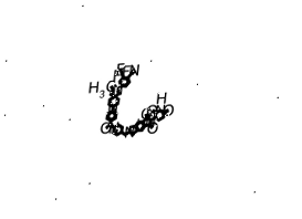 CC1CC2(CCN(c3ccc(C(=O)N4CCC(CN5Cc6cc7c(cc6C5)C(=O)N(C5CCC(=O)NC5=O)C7=O)CC4)cc3)CC2)CN1c1ccc(C#N)c(C(F)(F)F)c1